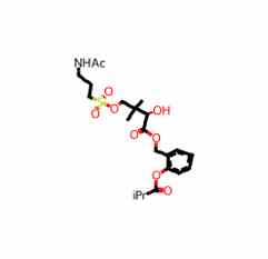 CC(=O)NCCCS(=O)(=O)OCC(C)(C)[C@@H](O)C(=O)OCc1ccccc1OC(=O)C(C)C